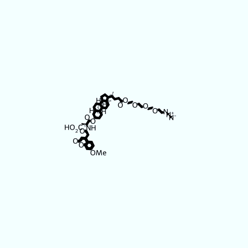 COc1ccc2c(CC(=O)N[C@@H](CC(=O)O)C(=O)O[C@@H]3CC[C@@]4(C)[C@H](CC[C@@H]5[C@@H]4CC[C@]4(C)C([C@H](C)CCC(=O)OCCOCCOCCOCCN=[N+]=[N-])CC[C@@H]54)C3)cc(=O)oc2c1